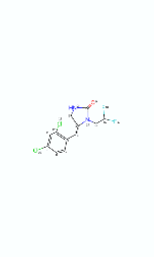 O=C1NCC(Cc2ccc(Cl)cc2Cl)N1CC(F)F